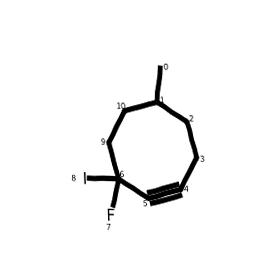 CC1CCC#CC(F)(I)CC1